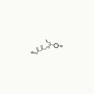 C=CC[C@H](OCCC(=O)CC(=O)OC(C)(C)C)c1ccc(Br)cc1